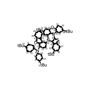 CC(C)(C)c1ccc(N(c2ccc(C(C)(C)C)cc2)c2ccc(N3c4cc(C(C)(C)C)cc5c4B(c4cc(C(C)(C)C)ccc4O5)c4sc5ccc(C(C)(C)C)cc5c43)c3c2oc2ccccc23)cc1